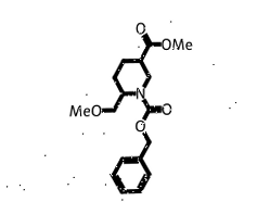 COCC1CCC(C(=O)OC)CN1C(=O)OCc1ccccc1